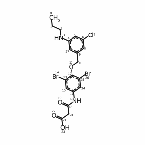 CCCNc1cc(Cl)cc(COc2c(Br)cc(NC(=O)CC(=O)O)cc2Br)c1